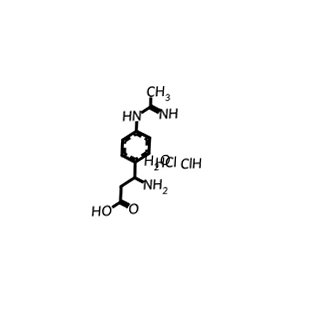 CC(=N)Nc1ccc(C(N)CC(=O)O)cc1.Cl.Cl.O